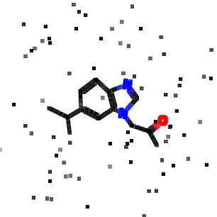 CC(=O)Cn1cnc2ccc(C(C)C)cc21